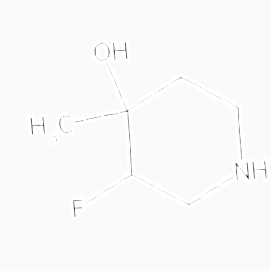 CC1(O)CCNCC1F